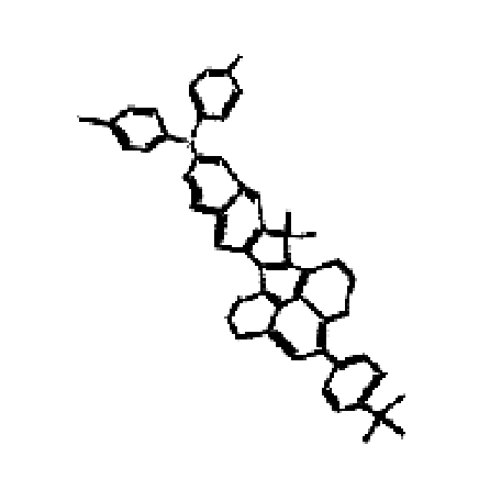 Cc1ccc(N(c2ccc(C)cc2)c2ccc3cc4c(cc3c2)C(C)(C)c2c-4c3c4c(cc(-c5ccc(C(C)(C)C)cc5)c5c4c2CCC5)CCC3)cc1